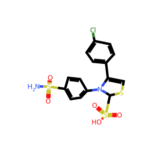 NS(=O)(=O)c1ccc(N2C(c3ccc(Cl)cc3)=CSC2S(=O)(=O)O)cc1